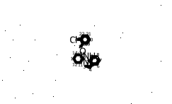 NC1(n2ccc3ccccc32)CCCCC1OCc1ccccc1Cl